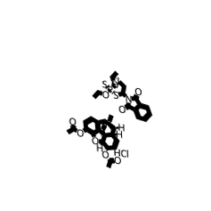 CC(=O)Oc1ccc2c3c1O[C@H]1[C@@H](OC(C)=O)C=C[C@H]4[C@@H](C2)N(C)CC[C@@]341.CCOP(=S)(OCC)SC(CCl)N1C(=O)c2ccccc2C1=O.Cl